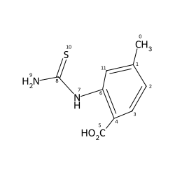 Cc1ccc(C(=O)O)c(NC(N)=S)c1